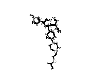 CC(C)OCCN1CCN(c2ccc(-c3nc(-c4cnn(C)c4)cn4ncc(C#N)c34)cn2)CC1